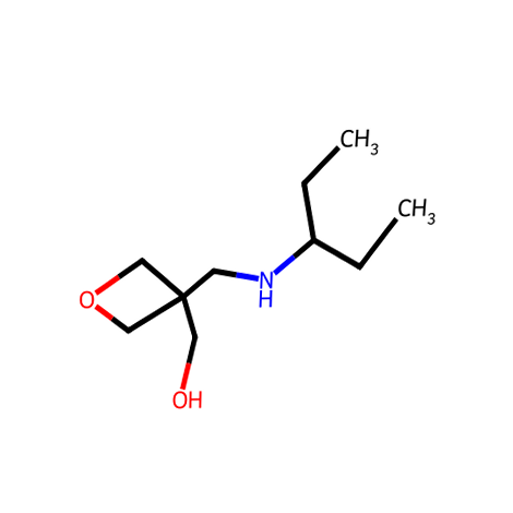 CCC(CC)NCC1(CO)COC1